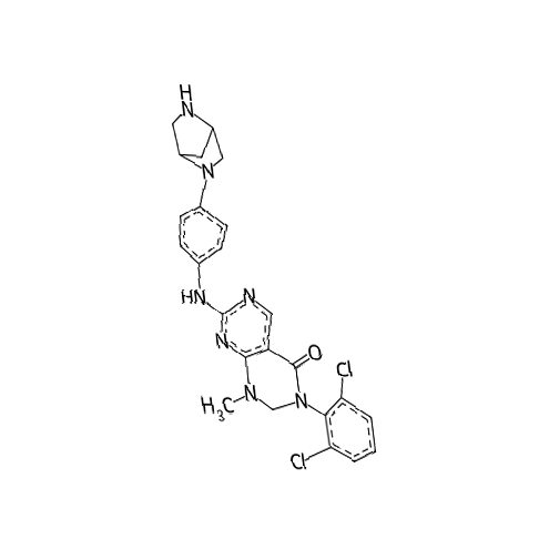 CN1CN(c2c(Cl)cccc2Cl)C(=O)c2cnc(Nc3ccc(N4CC5CC4CN5)cc3)nc21